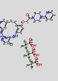 O=C(COc1ccc2cc1CCc1cncc(c1)Nc1ncc(Cl)c(n1)N2)N1CCN(c2ccccn2)CC1.O=C(O)C(F)(F)F.O=C(O)C(F)(F)F.O=C(O)C(F)(F)F